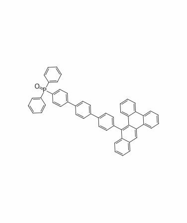 O=P(c1ccccc1)(c1ccccc1)c1ccc(-c2ccc(-c3ccc(-c4c5ccccc5cc5c6ccccc6c6ccccc6c45)cc3)cc2)cc1